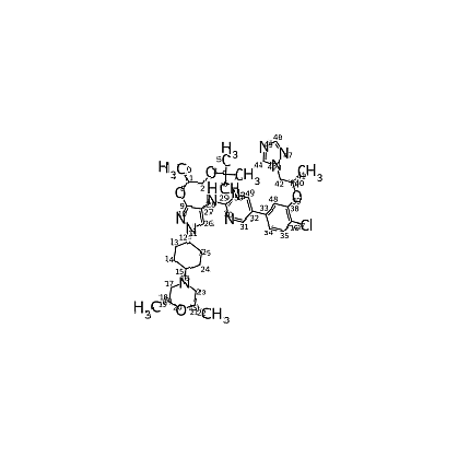 CC(COC(C)(C)C)Oc1nn([C@H]2CC[C@H](N3C[C@@H](C)O[C@@H](C)C3)CC2)cc1Nc1ncc(-c2ccc(Cl)c(O[C@@H](C)Cn3cncn3)c2)cn1